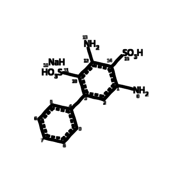 Nc1cc(-c2ccccc2)c(S(=O)(=O)O)c(N)c1S(=O)(=O)O.[NaH]